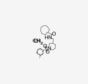 Cc1cccc(S(=O)(=O)N2CCCC(CNC(=O)[C]3CCCCCCC3)C2)c1.[CH2].[CH2]